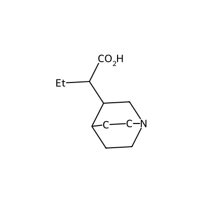 CCC(C(=O)O)C1CN2CCC1CC2